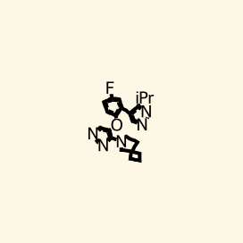 CC(C)c1ncncc1-c1cc(F)ccc1Oc1cncnc1N1CCC2(CCC2)C1